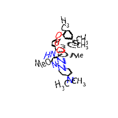 COc1nc(N2CCC(N(C)C)CC2)nc(OC)c1NC(=O)c1ccc(Oc2cc([Si](C)(C)C)ccc2C)o1